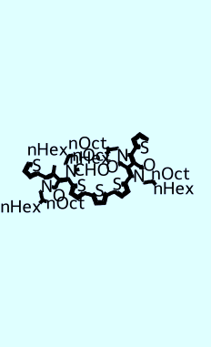 CCCCCCCCC(CCCCCC)CN1C(=O)C2=C(c3ccc(-c4ccc(-c5ccc(/C(=C6\C(=O)N(CC(CCCCCC)CCCCCCCC)C(c7cccs7)=C6C)N(C=O)CC(CCCCCC)CCCCCCCC)s5)s4)s3)N(CC(CCCCCC)CCCCCCCC)C(=O)C2=C1c1cccs1